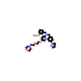 COc1cccc(CN(Cc2ccc(-n3cccn3)cc2)c2ccc(OCCOCCN3CCOCC3)cn2)c1